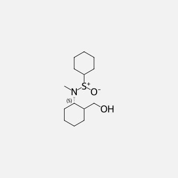 CN([C@H]1CCCCC1CO)[S+]([O-])C1CCCCC1